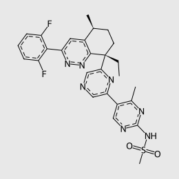 CC[C@]1(c2cncc(-c3cnc(NS(C)(=O)=O)nc3C)n2)CC[C@H](C)c2cc(-c3c(F)cccc3F)nnc21